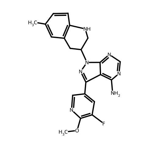 COc1ncc(-c2nn(C3CNc4ccc(C)cc4C3)c3ncnc(N)c23)cc1F